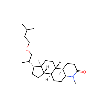 CC(C)CCOCC(C)[C@H]1CC[C@H]2[C@@H]3CCC4N(C)C(=O)CC[C@]4(C)[C@H]3CC[C@]12C